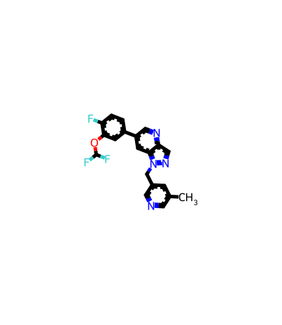 Cc1cncc(Cn2ncc3ncc(-c4ccc(F)c(OC(F)F)c4)cc32)c1